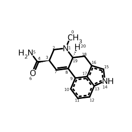 CN1C[C@H](C(N)=O)C=C2c3cccc4[nH]cc(c34)C[C@@H]21